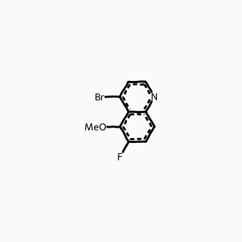 COc1c(F)ccc2nccc(Br)c12